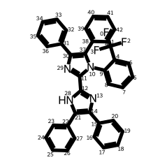 FC(F)(F)c1ccccc1-n1c(-c2nc(-c3ccccc3)c(-c3ccccc3)[nH]2)nc(-c2ccccc2)c1-c1ccccc1